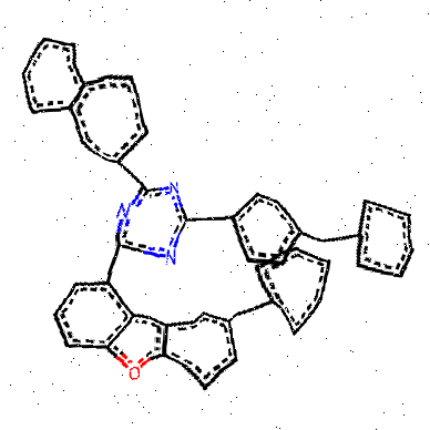 c1ccc(-c2ccc(-c3nc(-c4ccc5ccccc5c4)nc(-c4cccc5oc6ccc(-c7ccccc7)cc6c45)n3)cc2)cc1